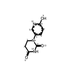 O=C1CCN(c2ccc(O)nc2)C(=O)N1